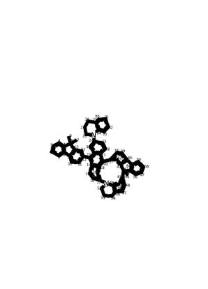 CC1(C)c2ccccc2-c2ccc(-c3c4ccc5cc4c(c4ccc(N6CCCc7ccccc76)cc34)-c3ccc4c(c3)C(C)(c3ccc6c(c3)N5CCC6)c3ccccc3-4)cc21